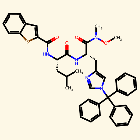 CON(C)C(=O)[C@H](Cc1cn(C(c2ccccc2)(c2ccccc2)c2ccccc2)cn1)NC(=O)[C@H](CC(C)C)NC(=O)c1cc2ccccc2s1